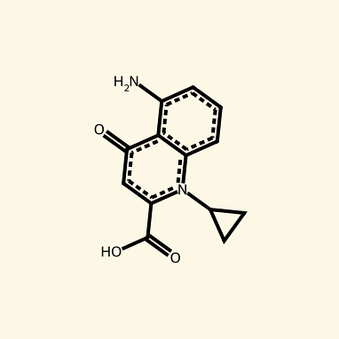 Nc1cccc2c1c(=O)cc(C(=O)O)n2C1CC1